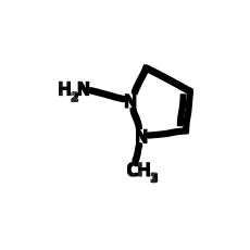 CN1C=CCN1N